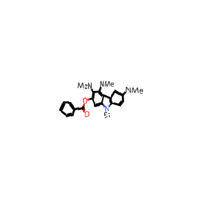 CCn1c2ccc(NC)cc2c2c(NC)c(NC)c(OC(=O)c3ccccc3)cc21